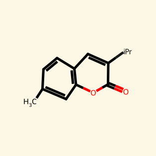 Cc1ccc2cc(C(C)C)c(=O)oc2c1